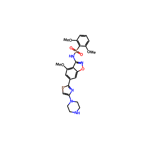 COc1cccc(OC)c1S(=O)(=O)Nc1noc2cc(-c3nc(N4CCNCC4)cs3)cc(OC)c12